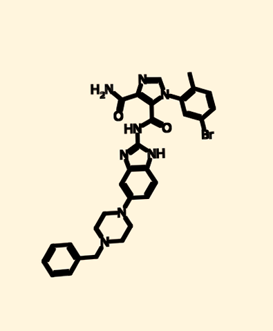 Cc1ccc(Br)cc1-n1cnc(C(N)=O)c1C(=O)Nc1nc2cc(N3CCN(Cc4ccccc4)CC3)ccc2[nH]1